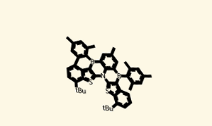 Cc1cc(C)c(B2c3cc(C)cc4c3N(c3sc5c(C(C)(C)C)cccc5c32)c2sc3c(C(C)(C)C)ccc5c3c2B4c2c(C)cc(C)cc2-5)c(C)c1